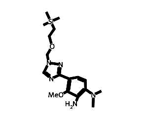 COc1c(-c2ncn(COCC[Si](C)(C)C)n2)ccc(N(C)C)c1N